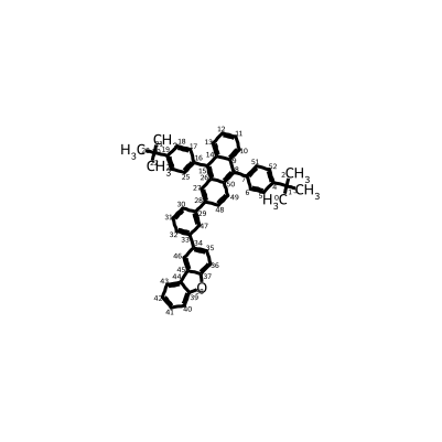 CC(C)(C)c1ccc(-c2c3ccccc3c(-c3ccc(C(C)(C)C)cc3)c3cc(-c4cccc(-c5ccc6oc7ccccc7c6c5)c4)ccc23)cc1